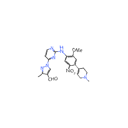 COc1cc(C2=CCN(C)CC2)c([N+](=O)[O-])cc1Nc1nccc(-n2cc(C=O)c(C)n2)n1